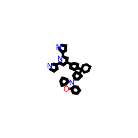 c1cncc(-c2cc(-c3ccc(C4(c5ccc(N6c7ccccc7Oc7ccccc76)cc5)CCCCC4)cc3)cc(-c3cccnc3)n2)c1